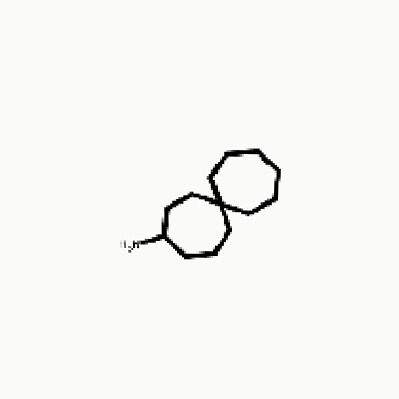 NC1CCCC2(CCCCCC2)CC1